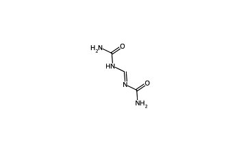 NC(=O)N=CNC(N)=O